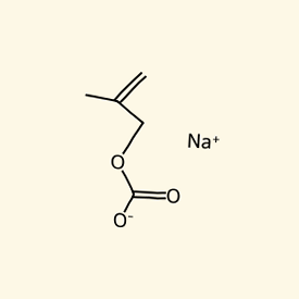 C=C(C)COC(=O)[O-].[Na+]